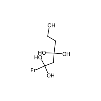 CCC(O)(O)CC(O)(O)CCO